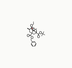 C=C(CC(CC(=C)C(=O)OC(C)(C)C)(C(=O)OC)C(=O)OCc1ccccc1)C(=O)OCC